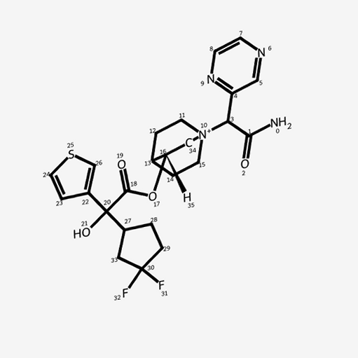 NC(=O)C(c1cnccn1)[N+]12CCC(CC1)[C@@H](OC(=O)C(O)(c1ccsc1)C1CCC(F)(F)C1)C2